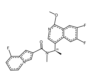 COc1ncc([C@@H](C)N(C)C(=O)c2cc3c(F)cccn3c2)c2cc(F)c(F)cc12